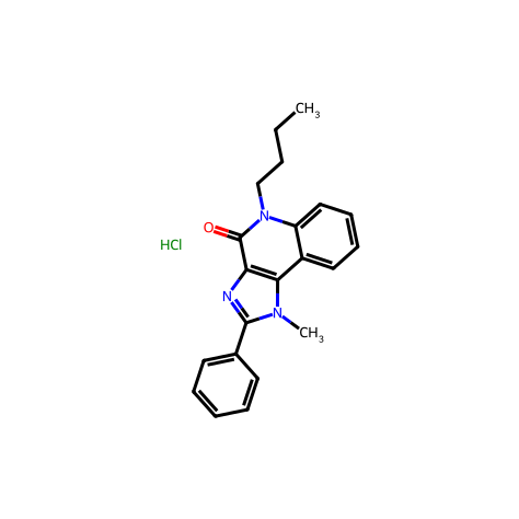 CCCCn1c(=O)c2nc(-c3ccccc3)n(C)c2c2ccccc21.Cl